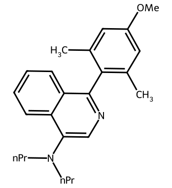 CCCN(CCC)c1cnc(-c2c(C)cc(OC)cc2C)c2ccccc12